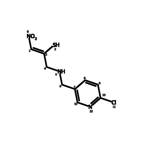 O=[N+]([O-])C=C(S)CNCc1ccc(Cl)nc1